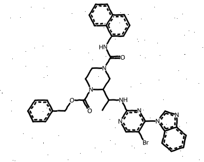 CC(Nc1ncc(Br)c(-n2cnc3ccccc32)n1)C1CN(C(=O)Nc2cccc3ccccc23)CCN1C(=O)OCc1ccccc1